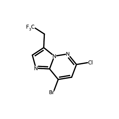 FC(F)(F)Cc1cnc2c(Br)cc(Cl)nn12